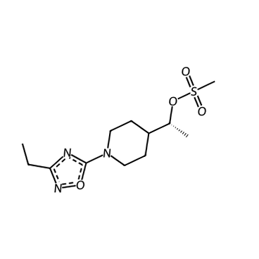 CCc1noc(N2CCC([C@@H](C)OS(C)(=O)=O)CC2)n1